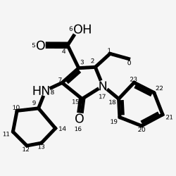 CCC1C(C(=O)O)=C(NC2CCCCC2)C(=O)N1c1ccccc1